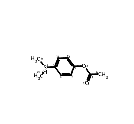 CC(=O)Oc1ccc([SH](C)C)cc1